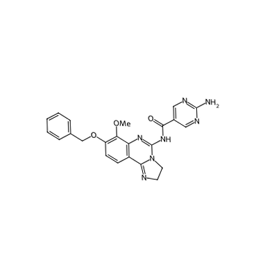 COc1c(OCc2ccccc2)ccc2c1N=C(NC(=O)c1cnc(N)nc1)N1CCN=C21